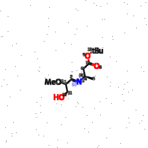 COC(/C=N/[C@H](C)CC(=O)OC(C)(C)C)CO